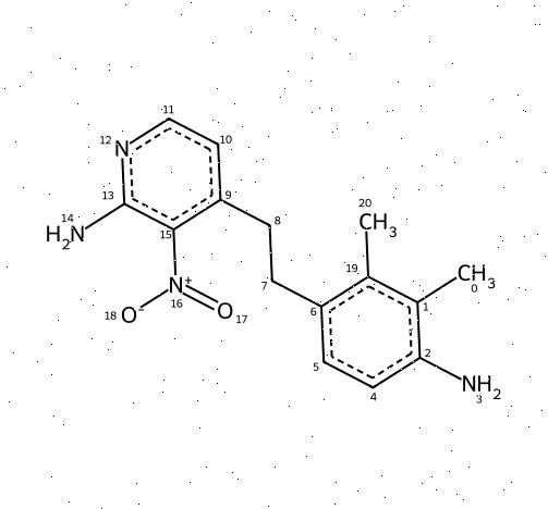 Cc1c(N)ccc(CCc2ccnc(N)c2[N+](=O)[O-])c1C